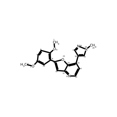 COc1ccc(OC)c(-c2cc3nccc(-c4cnn(C)c4)c3o2)c1